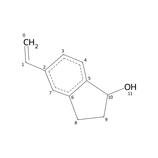 C=Cc1ccc2c(c1)CCC2O